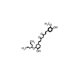 C=CCC(CC=C)OC1CC(/C=C/C(=O)CC(=O)/C=C/c2ccc(O)c(OC)c2)CC=C1O